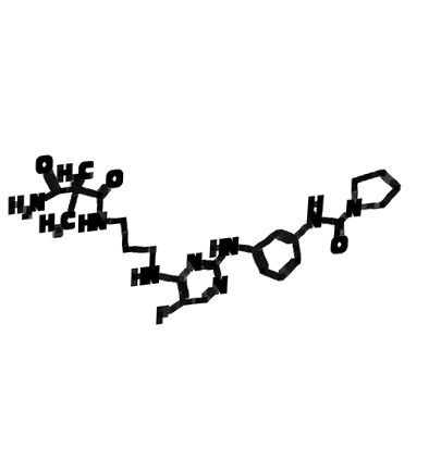 CC(C)(C(N)=O)C(=O)NCCCNc1nc(Nc2cccc(NC(=O)N3CCCC3)c2)ncc1F